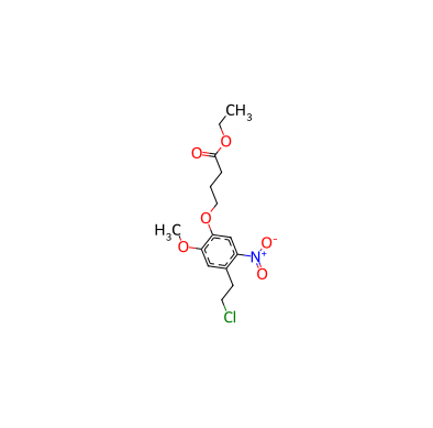 CCOC(=O)CCCOc1cc([N+](=O)[O-])c(CCCl)cc1OC